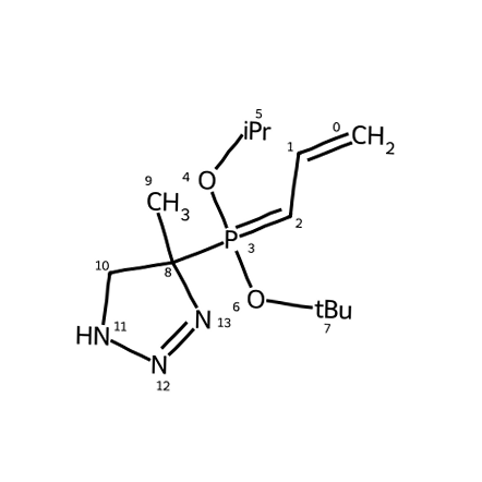 C=CC=P(OC(C)C)(OC(C)(C)C)C1(C)CNN=N1